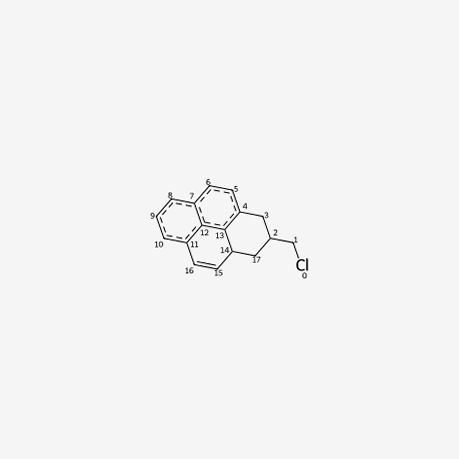 ClCC1Cc2ccc3cccc4c3c2C(C=C4)C1